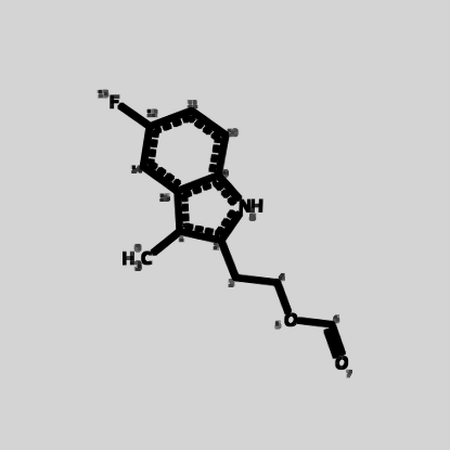 Cc1c(CCOC=O)[nH]c2ccc(F)cc12